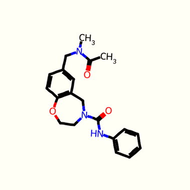 CC(=O)N(C)Cc1ccc2c(c1)CN(C(=O)Nc1ccccc1)CCO2